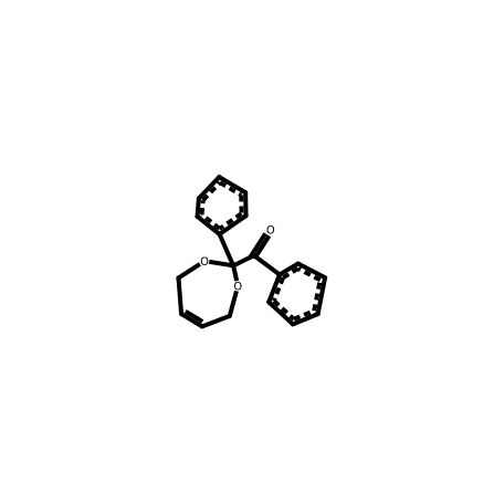 O=C(c1ccccc1)C1(c2ccccc2)OCC=CCO1